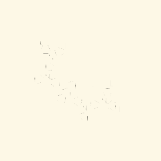 CCc1ccc2c(c1)c1cc(CC)ccc1n2-c1ccc(N(c2ccccc2)c2ccc(-c3c4ccccc4c(-c4ccc(N(c5ccccc5)c5ccc(-n6c7ccc(CC)cc7c7cc(CC)ccc76)cc5)cc4)c4cc(C)ccc34)cc2)cc1